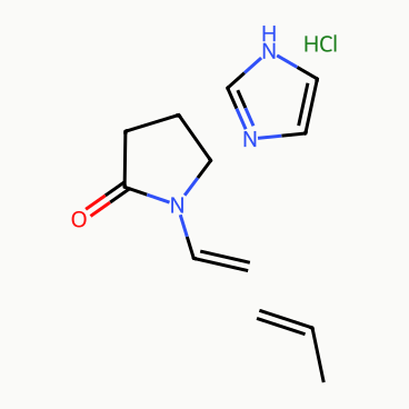 C=CC.C=CN1CCCC1=O.Cl.c1c[nH]cn1